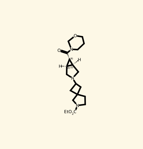 CCOC(=O)N1CCC2(CC(N3C[C@@H]4[C@H](C3)[C@H]4C(=O)N3CCCOC3)C2)C1